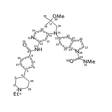 CCN1CCC(c2ccc(C(=O)Nc3cc(N(CC(C)(C)OC)c4ccc5c(ccn5C(=O)NC)c4)ccn3)cc2)CC1